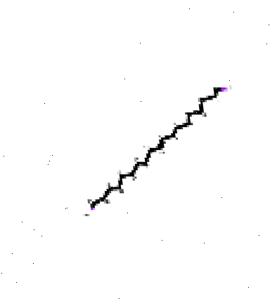 ICCCCCCCCC=CCCCCCCCCCI